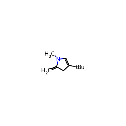 C=C1CC(C(C)(C)C)=CN1C